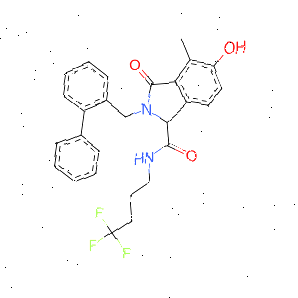 Cc1c(O)ccc2c1C(=O)N(Cc1ccccc1-c1ccccc1)C2C(=O)NCCCC(F)(F)F